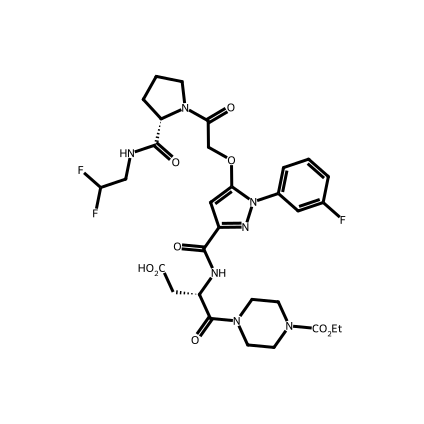 CCOC(=O)N1CCN(C(=O)[C@H](CC(=O)O)NC(=O)c2cc(OCC(=O)N3CCC[C@H]3C(=O)NCC(F)F)n(-c3cccc(F)c3)n2)CC1